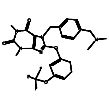 CN(C)Cc1ccc(Cn2c(OC3=CC(OC(F)(F)F)=CCC3)nc3c2c(=O)n(C)c(=O)n3C)cc1